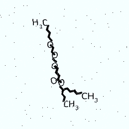 CCCCCCOCCOCCOCCCC(=O)OCC(CCCC)CCCCCC